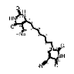 N#Cc1cn(CCCCCCCc2[nH]c(=O)[nH]c(=O)c2C=N)c(=O)[nH]c1=O